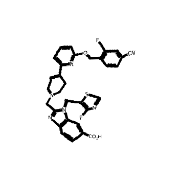 N#Cc1ccc(COc2cccc(C3CCN(Cc4nc5ccc(C(=O)O)cc5n4Cc4scnc4F)CC3)n2)c(F)c1